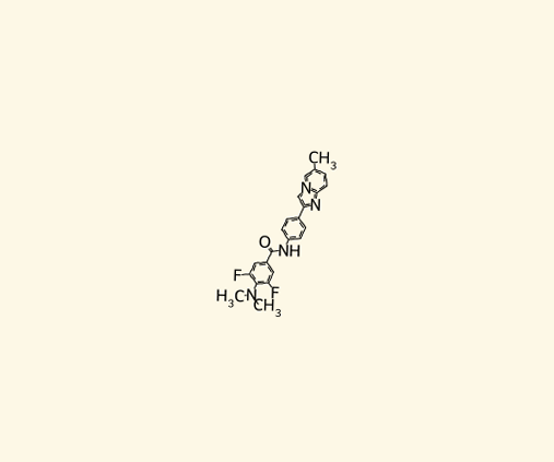 Cc1ccc2nc(-c3ccc(NC(=O)c4cc(F)c(N(C)C)c(F)c4)cc3)cn2c1